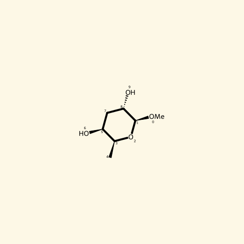 CO[C@H]1O[C@@H](C)[C@@H](O)C[C@@H]1O